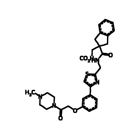 CN1CCN(C(=O)COc2cccc(-c3csc(CNC(=O)C4(CC(=O)O)Cc5ccccc5C4)n3)c2)CC1